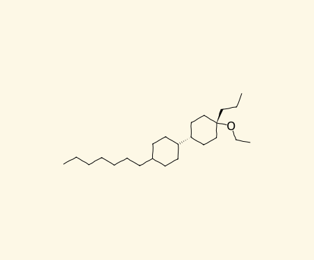 CCCCCCCC1CCC([C@H]2CC[C@@](CCC)(OCC)CC2)CC1